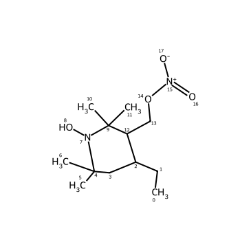 CCC1CC(C)(C)N(O)C(C)(C)C1CO[N+](=O)[O-]